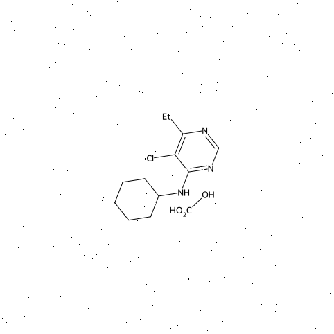 CCc1ncnc(NC2CCCCC2)c1Cl.O=C(O)O